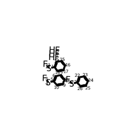 F.F.F.FSc1ccccc1.FSc1ccccc1.FSc1ccccc1